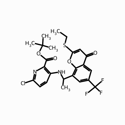 CCSc1cc(=O)c2cc(C(F)(F)F)cc(C(C)Nc3ccc(Cl)nc3C(=O)OC(C)(C)C)c2o1